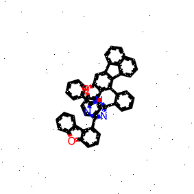 c1ccc(-c2nc(-c3ccccc3-c3c4c(cc5oc6ccccc6c35)-c3cccc5cccc-4c35)nc(-c3cccc4oc5ccccc5c34)n2)cc1